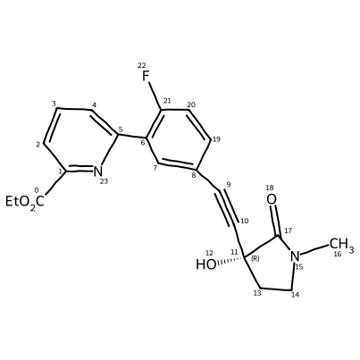 CCOC(=O)c1cccc(-c2cc(C#C[C@]3(O)CCN(C)C3=O)ccc2F)n1